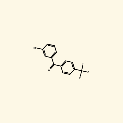 O=C(c1ccc(C(F)(F)F)cc1)c1cccc(Br)n1